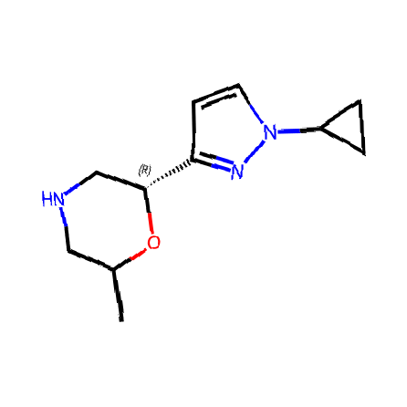 CC1CNC[C@H](c2ccn(C3CC3)n2)O1